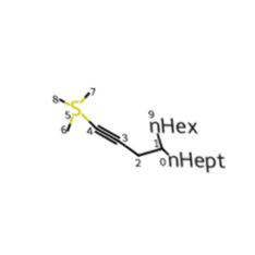 CCCCCCCC(CC#CS(C)(C)C)CCCCCC